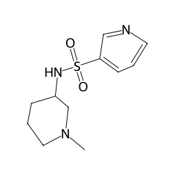 CN1CCCC(NS(=O)(=O)c2cccnc2)C1